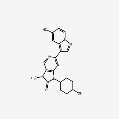 Cn1c(=O)n(C2CCC(O)CC2)c2nc(-c3cnn4ccc(C#N)cc34)ncc21